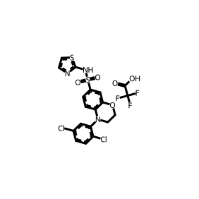 O=C(O)C(F)(F)F.O=S(=O)(Nc1nccs1)c1ccc2c(c1)OCCN2c1cc(Cl)ccc1Cl